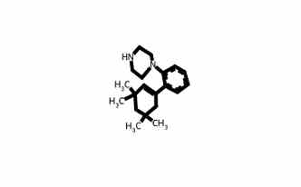 CC1(C)C=C(c2ccccc2N2CCNCC2)CC(C)(C)C1